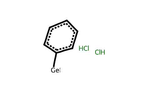 Cl.Cl.[Ge][c]1ccccc1